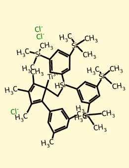 CC1=C(C)[C]([Ti+3])(C[SiH](c2cc([Si](C)(C)C)cc([Si](C)(C)C)c2)c2cc([Si](C)(C)C)cc([Si](C)(C)C)c2)C(c2cc(C)cc(C)c2)=C1C.[Cl-].[Cl-].[Cl-]